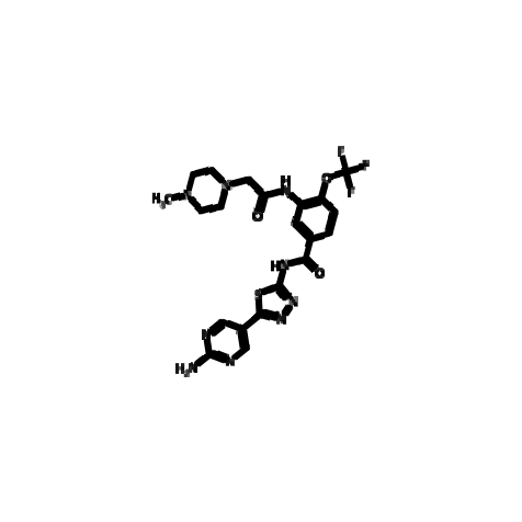 CN1CCN(CC(=O)Nc2cc(C(=O)Nc3nnc(-c4cnc(N)nc4)s3)ccc2OC(F)(F)F)CC1